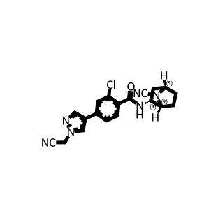 N#CCn1cc(-c2ccc(C(=O)N[C@@H]3C[C@@H]4CC[C@H]3N4C#N)c(Cl)c2)cn1